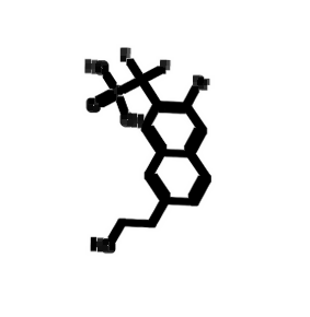 O=P(O)(O)C(F)(F)c1cc2cc(CCO)ccc2cc1Br